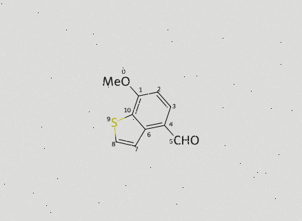 COc1ccc(C=O)c2ccsc12